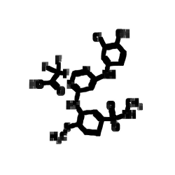 CNS(=O)(=O)c1ccc(SC)c(Nc2cc(Nc3ccc(O)c(Cl)c3)ncn2)c1.O=C(O)C(F)(F)F